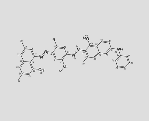 COc1cc(/N=N/c2cc(C)cc3cc(C)cc(O)c23)c(C)cc1/N=N/c1c(C)cc2cc(Nc3ccccc3)ccc2c1O